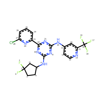 FC1(F)CCC(Nc2nc(Nc3ccnc(C(F)(F)F)c3)nc(-c3cccc(Cl)n3)n2)C1